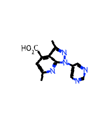 Cc1cc(C(=O)O)c2c(C)nn(-c3cncnc3)c2n1